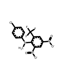 CN(c1ccc(Cl)cc1)c1c([N+](=O)[O-])cc([N+](=O)[O-])cc1C(F)(F)F